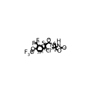 O=C1NC2(CO1)CN(C(=O)c1sc3c(C(F)F)c(OC(F)(F)F)ccc3c1Cl)C2